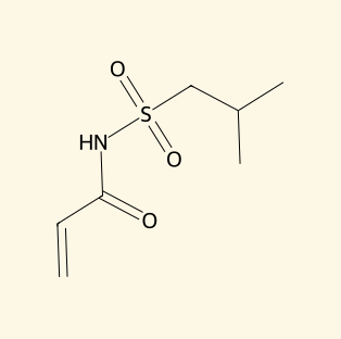 C=CC(=O)NS(=O)(=O)CC(C)C